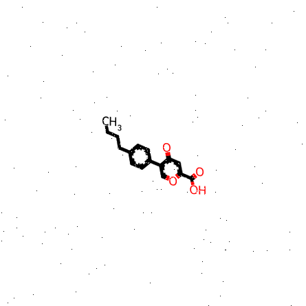 CCCCc1ccc(-c2coc(C(=O)O)cc2=O)cc1